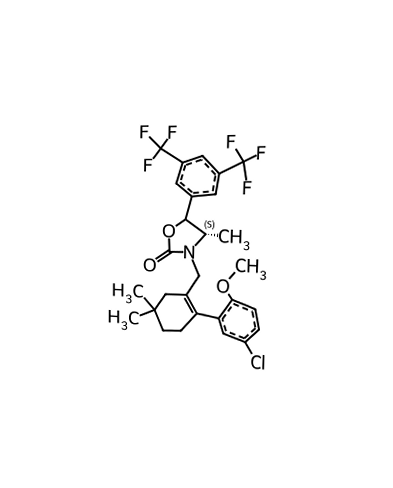 COc1ccc(Cl)cc1C1=C(CN2C(=O)OC(c3cc(C(F)(F)F)cc(C(F)(F)F)c3)[C@@H]2C)CC(C)(C)CC1